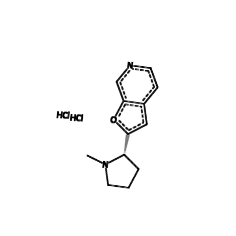 CN1CCC[C@H]1c1cc2ccncc2o1.Cl.Cl